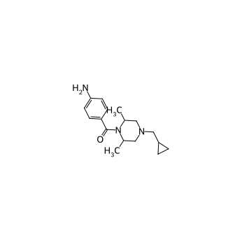 CC1CN(CC2CC2)CC(C)N1C(=O)c1ccc(N)cc1